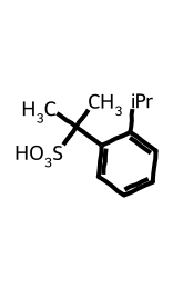 CC(C)c1ccccc1C(C)(C)S(=O)(=O)O